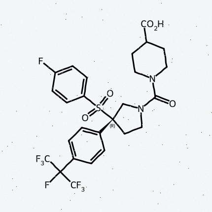 O=C(O)C1CCN(C(=O)N2CC[C@](c3ccc(C(F)(C(F)(F)F)C(F)(F)F)cc3)(S(=O)(=O)c3ccc(F)cc3)C2)CC1